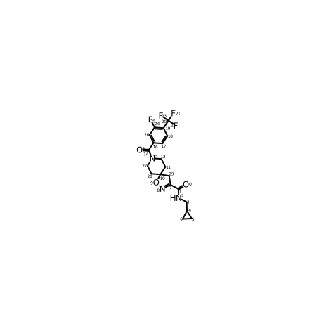 O=C(NCC1CC1)C1=NOC2(CCN(C(=O)c3ccc(C(F)(F)F)c(F)c3)CC2)C1